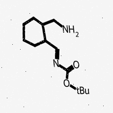 CC(C)(C)OC(=O)/N=C/C1CCCCC1CN